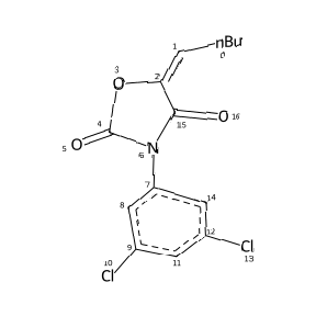 CCCCC=C1OC(=O)N(c2cc(Cl)cc(Cl)c2)C1=O